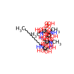 CCCCCCCCCCCCCCCC(=O)N[C@@H]1C(O[C@H]2C(O)[C@@H](NC(C)=O)[C@H](O[C@H]3C(O)[C@H](NC(C)=O)[C@H](O[C@H]4C(O)[C@@H](NC(C)=O)C(O)O[C@@H]4COS(=O)(=O)O)O[C@@H]3CO)O[C@@H]2CO)O[C@H](CO)[C@@H](O)[C@@H]1O